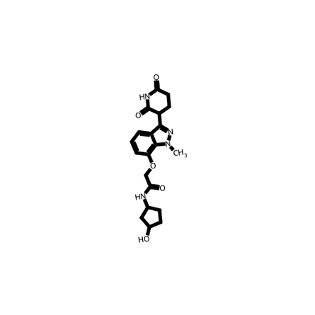 Cn1nc(C2CCC(=O)NC2=O)c2cccc(OCC(=O)NC3CCC(O)C3)c21